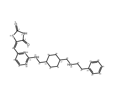 O=C1NC(=O)/C(=C\c2ccnc(NCC3CCC(CNCCc4ccccc4)CC3)n2)S1